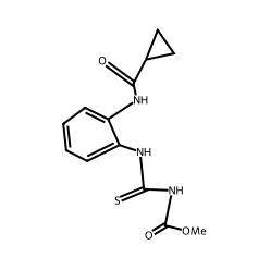 COC(=O)NC(=S)Nc1ccccc1NC(=O)C1CC1